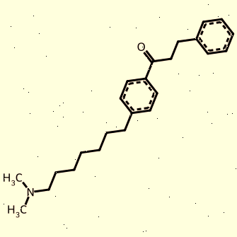 CN(C)CCCCCCCc1ccc(C(=O)CCc2ccccc2)cc1